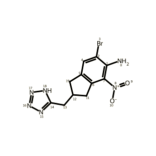 Nc1c(Br)cc2c(c1[N+](=O)[O-])CC(Cc1nnn[nH]1)C2